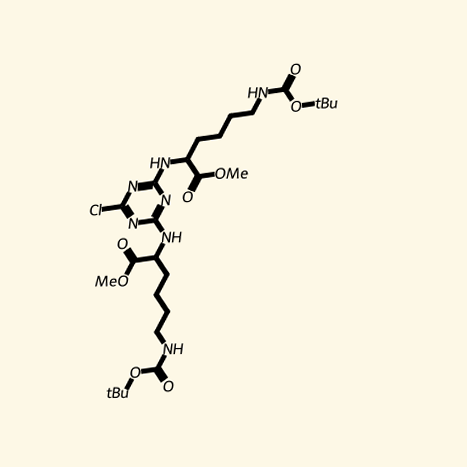 COC(=O)C(CCCCNC(=O)OC(C)(C)C)Nc1nc(Cl)nc(NC(CCCCNC(=O)OC(C)(C)C)C(=O)OC)n1